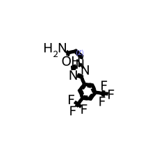 NC(O)/C=C\n1cnc(-c2cc(C(F)(F)F)cc(C(F)(F)F)c2)n1